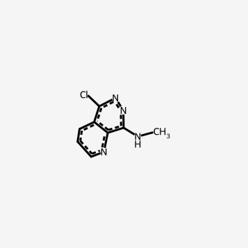 CNc1nnc(Cl)c2cccnc12